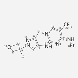 CCNc1nc(Nc2cn(C3(C)COC3)nc2C)ncc1C(F)(F)F